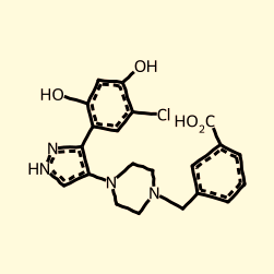 O=C(O)c1cccc(CN2CCN(c3c[nH]nc3-c3cc(Cl)c(O)cc3O)CC2)c1